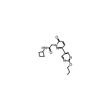 CCCOc1ncc(-c2ccc(=O)n(CC(=O)NC3CCC3)n2)cn1